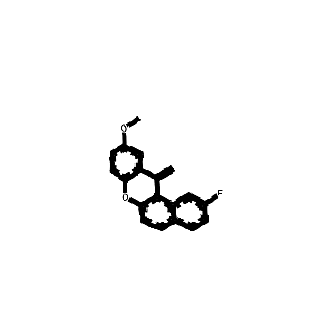 C=C1c2cc(OC)ccc2Oc2ccc3ccc(F)cc3c21